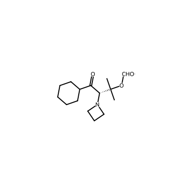 CC(C)(O[C]=O)[C@@H](C(=O)C1CCCCC1)N1CCC1